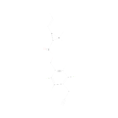 C#CCc1c(F)c(F)c(COC(=O)C2C(C=CCC)C2(C)C)c(F)c1F